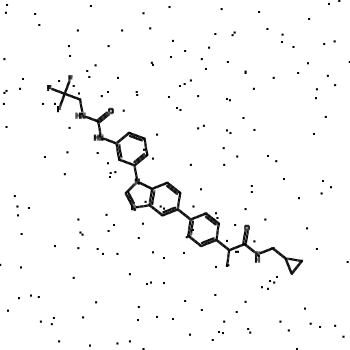 CC(C(=O)NCC1CC1)c1ccc(-c2ccc3c(c2)ncn3-c2cccc(NC(=O)NCC(F)(F)F)c2)cc1